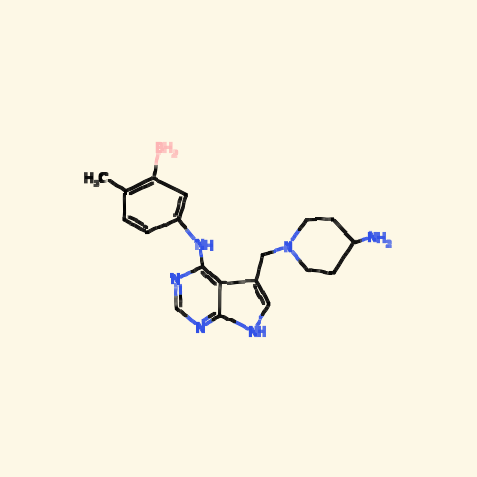 Bc1cc(Nc2ncnc3[nH]cc(CN4CCC(N)CC4)c23)ccc1C